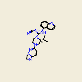 CC(C)[C@@H]1CN(C2=NN3CCN=C3C=C2)CCN1/C(=N\C#N)Nc1cccc2ncccc12